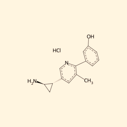 Cc1cc([C@@H]2C[C@H]2N)cnc1-c1cccc(O)c1.Cl